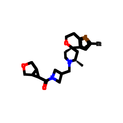 CCc1cc2c(s1)CCO[C@@]21CCN(CC2CN(C(=O)C3C4COCC43)C2)[C@@H](C)C1